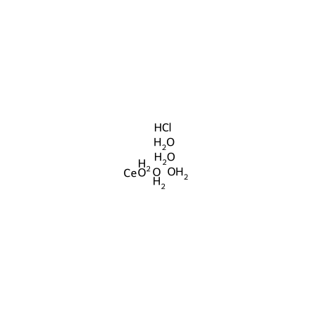 Cl.O.O.O.O.O.[Ce]